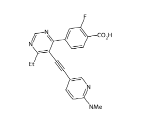 CCc1ncnc(-c2ccc(C(=O)O)c(F)c2)c1C#Cc1ccc(NC)nc1